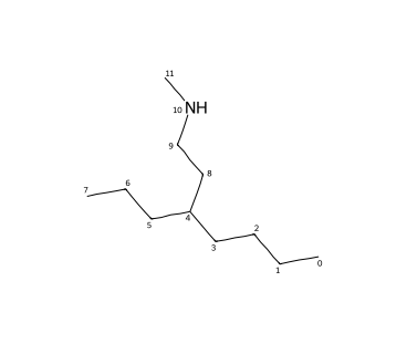 CCCCC(CCC)CCNC